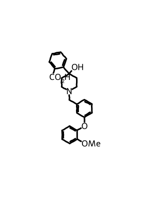 COc1ccccc1Oc1cccc(CN2CCC(O)(c3ccccc3C(=O)O)CC2)c1